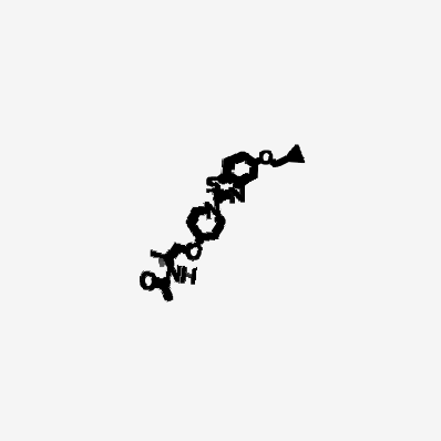 CC(=O)N[C@@H](C)COC1CCN(c2nc3cc(OCC4CC4)ccc3s2)CC1